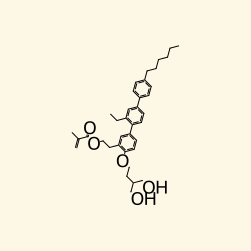 C=C(C)C(=O)OCCc1cc(-c2ccc(-c3ccc(CCCCCC)cc3)cc2CC)ccc1OCCC(CO)CO